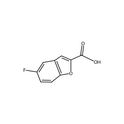 O=C(O)c1cc2cc(F)ccc2o1